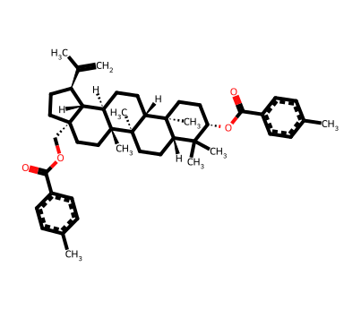 C=C(C)[C@@H]1CC[C@]2(COC(=O)c3ccc(C)cc3)CC[C@]3(C)[C@H](CC[C@@H]4[C@@]5(C)CC[C@H](OC(=O)c6ccc(C)cc6)C(C)(C)[C@@H]5CC[C@]43C)[C@@H]12